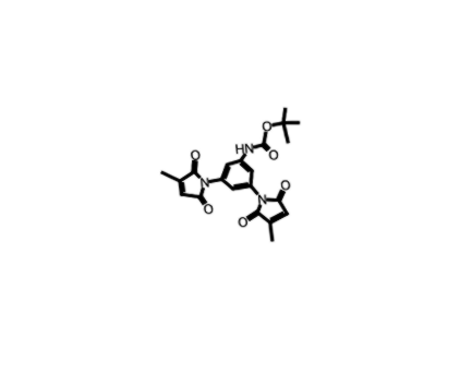 CC1=CC(=O)N(c2cc(NC(=O)OC(C)(C)C)cc(N3C(=O)C=C(C)C3=O)c2)C1=O